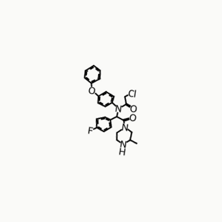 CC1CN(C(=O)C(c2ccc(F)cc2)N(C(=O)CCl)c2ccc(Oc3ccccc3)cc2)CCN1